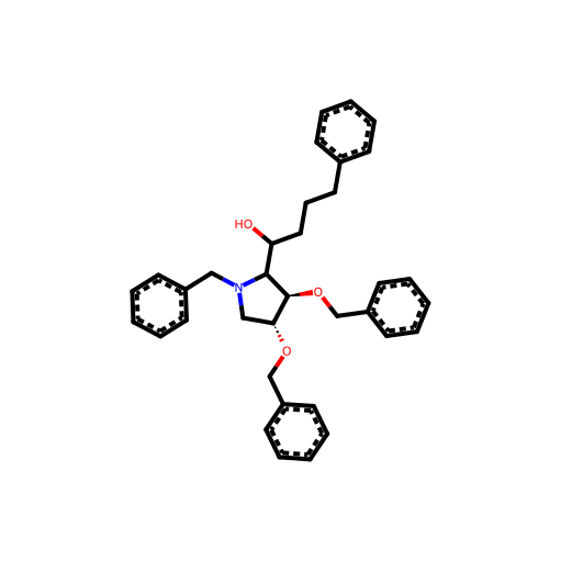 OC(CCCc1ccccc1)C1[C@@H](OCc2ccccc2)[C@H](OCc2ccccc2)CN1Cc1ccccc1